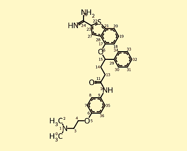 CN(C)CCOc1ccc(NC(=O)CCC(Oc2cccc3sc(C(=N)N)cc23)c2ccccc2)cc1